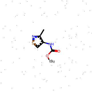 Cc1nscc1NC(=O)OC(C)(C)C